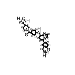 CNC(=O)C1CCN(C(=O)c2ccc(Nc3ccc(-c4ccc5c(c4)CNCO5)n4ccnc34)cc2)CC1